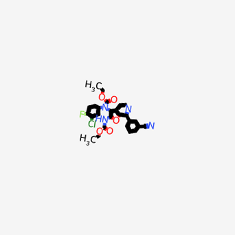 CCOC(=O)Nc1oc2c(-c3cccc(C#N)c3)nccc2c1N(C(=O)OCC)c1ccc(F)c(Cl)c1